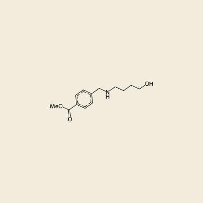 COC(=O)c1ccc(CNCCCCO)cc1